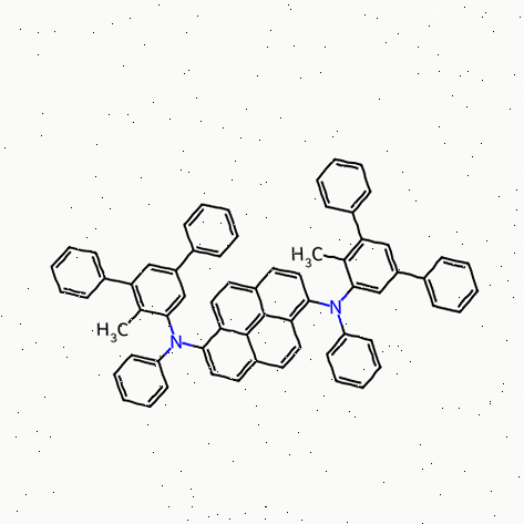 Cc1c(-c2ccccc2)cc(-c2ccccc2)cc1N(c1ccccc1)c1ccc2ccc3c(N(c4ccccc4)c4cc(-c5ccccc5)cc(-c5ccccc5)c4C)ccc4ccc1c2c43